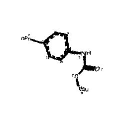 C[CH]Cc1ccc(NC(=O)OC(C)(C)C)cc1